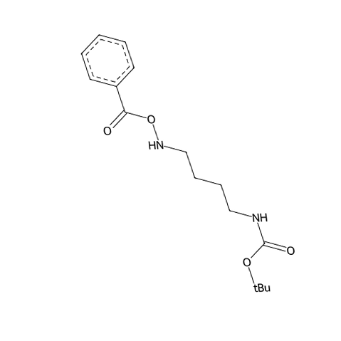 CC(C)(C)OC(=O)NCCCCNOC(=O)c1ccccc1